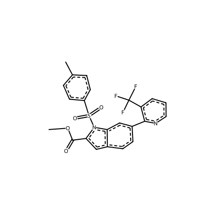 COC(=O)c1cc2ccc(-c3ncccc3C(F)(F)F)cc2n1S(=O)(=O)c1ccc(C)cc1